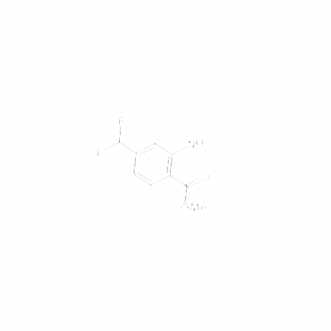 COC(=O)c1ccc(C(F)F)cc1N